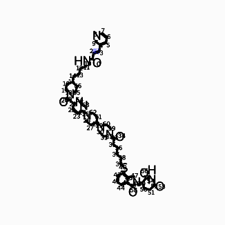 O=C(/C=C/c1cccnc1)NCCCCC1CCN(C(=O)c2ccc(N3CCC(N4CCN(C(=O)CCCCCSc5cccc6c5CN(C5CCC(=O)NC5=O)C6=O)CC4)CC3)nn2)CC1